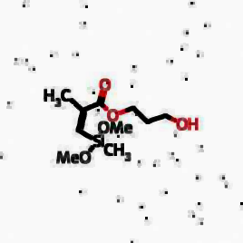 CO[Si](C)(C=C(C)C(=O)OCCCO)OC